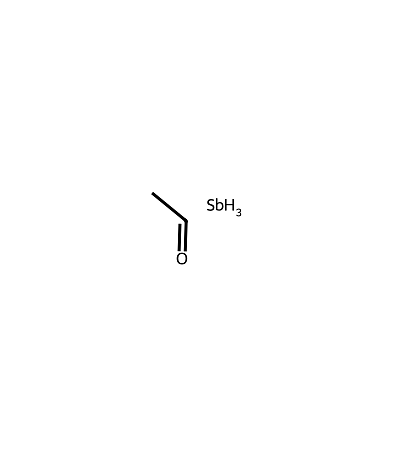 CC=O.[SbH3]